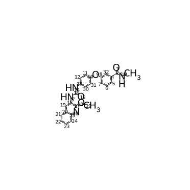 CNC(=O)c1cccc(Oc2ccc(NC(=O)Nc3cc4ccccc4nc3OC)cc2)c1